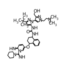 CN(C)CCn1cc(-n2nc(C(C)(C)C)cc2NC(=O)NC2CCC(Oc3ccc(=N)n(C(=N)N4CCCCC4)c3)c3ccccc32)c(CO)n1